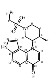 CC(C)CS(=O)(=O)N1CC[C@@H](C)[C@@H](n2ccc(=O)c3cnc4[nH]ccc4c32)C1